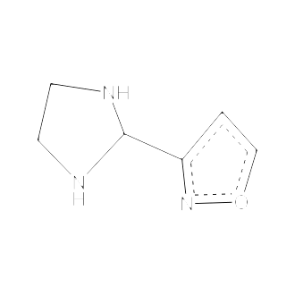 c1cc(C2NCCN2)no1